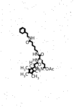 CC(=O)OC(N)CCC[C@H](NC(=O)CCC1(C)C(C)=C(C)C(C)=C1C)C(=O)NCCCCCC(=O)NCCC1=CC=CCC1